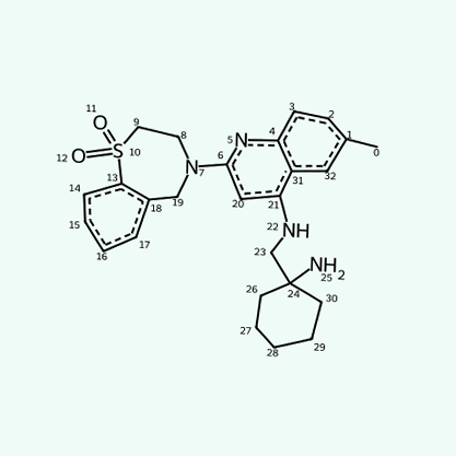 Cc1ccc2nc(N3CCS(=O)(=O)c4ccccc4C3)cc(NCC3(N)CCCCC3)c2c1